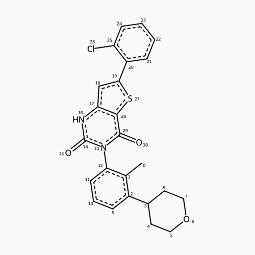 Cc1c(C2CCOCC2)cccc1-n1c(=O)[nH]c2cc(-c3ccccc3Cl)sc2c1=O